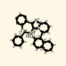 Cc1ccccc1-c1nc2cccc(-c3c(O)ccc4ccccc34)n2c1NCc1ccccc1